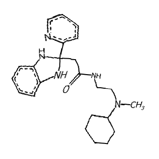 CN(CCNC(=O)CC1(c2ccccn2)Nc2ccccc2N1)C1CCCCC1